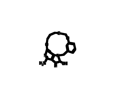 Nc1nc2cc3c1NC(O)N3Cc1cccc(c1)OCCCCCO2